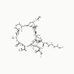 C=CCC1CC2CC3CCC[C@@H](C[C@@H](O)CC(=O)OC(CO)C[C@@H]4C/C(=C\C(=O)OC)[C@H](OC(=O)CCCCCCC)[C@@](O)(O4)C(C)(C)/C=C/[C@@H](O1)O2)O3